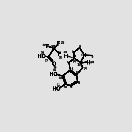 CN1CC[C@@H]2Cc3c(ccc(O)c3O)C[C@H]21.O=C(O)C(F)(F)F